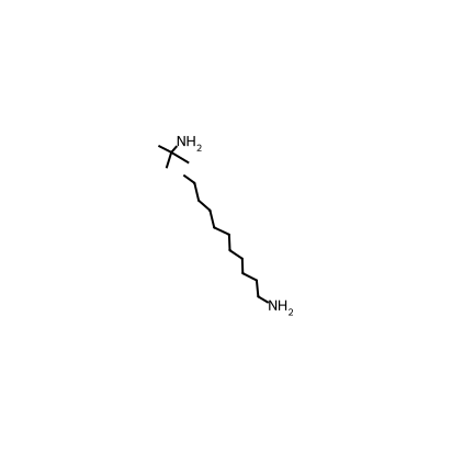 CC(C)(C)N.CCCCCCCCCCCN